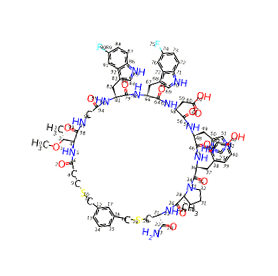 CO[C@H](C)[C@@H]1NC(=O)CCSCc2cccc(c2)CSC[C@@H](C(N)=O)NC(=O)[C@]2(C)CCCN2C(=O)[C@H](Cc2ccc(O)cc2)NC(=O)[C@H](Cc2cnc[nH]2)NC(=O)[C@H](CC(=O)O)NC(=O)[C@H](Cc2c[nH]c3ccc(F)cc23)NC(=O)[C@H](Cc2c[nH]c3ccc(F)cc23)NC(=O)CNC1=O